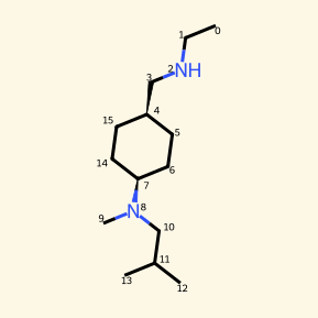 CCNC[C@H]1CC[C@@H](N(C)CC(C)C)CC1